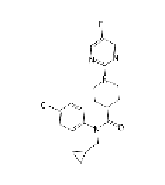 O=C(C1CCN(c2ncc(F)cn2)CC1)N(CC1CC1)c1ccc(Cl)cc1